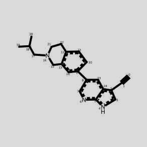 C#Cc1c[nH]c2ncc(-c3ccc4c(c3)CN(C[C](C)C)CC4)cc12